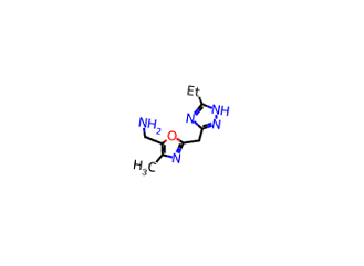 CCc1nc(Cc2nc(C)c(CN)o2)n[nH]1